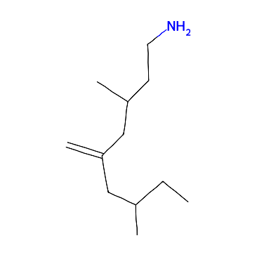 C=C(CC(C)CC)CC(C)CCN